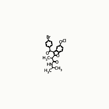 CC(C)NC(=O)C(C)c1oc2ccc(OCl)cc2c1C(=O)c1ccc(Br)cc1